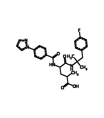 CC(CC(NC(=O)c1ccc(-n2cccn2)cc1)C(=O)NC(C)(C)Cc1ccc(F)cc1)C(=O)O